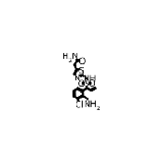 C=CC(c1cccc(Cl)c1CN)S(=O)(=O)Nc1ncc(CC(N)=O)s1